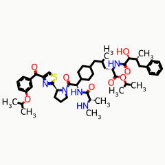 CN[C@@H](C)C(=O)N[C@H](C(=O)N1CCC[C@H]1c1nc(C(=O)c2cccc(OC(C)C)c2)cs1)C1CCC(CC(C)C[C@H](NC(=O)[C@@H](O)[C@H](C)Cc2ccccc2)C(=O)OC(C)C)CC1